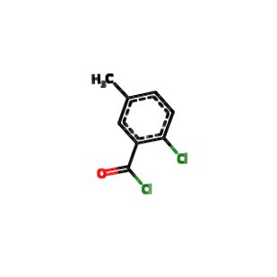 Cc1ccc(Cl)c(C(=O)Cl)c1